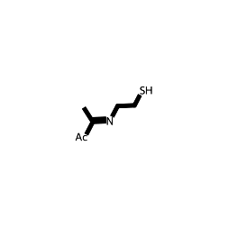 CC(=O)/C(C)=N/CCS